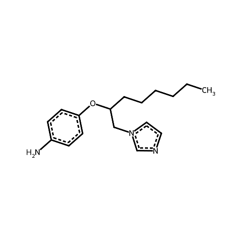 CCCCCCC(Cn1ccnc1)Oc1ccc(N)cc1